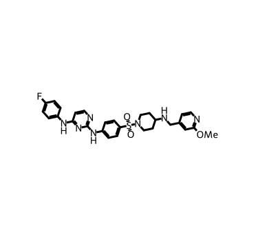 COc1cc(CNC2CCN(S(=O)(=O)c3ccc(Nc4nccc(Nc5ccc(F)cc5)n4)cc3)CC2)ccn1